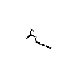 [N-]=[N+]=C=CNC(N)=O